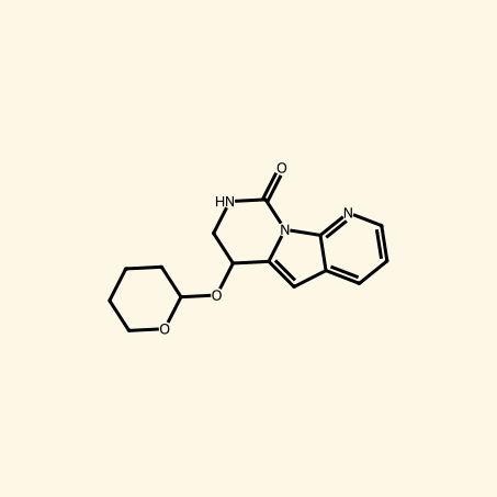 O=C1NCC(OC2CCCCO2)c2cc3cccnc3n21